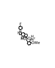 CC[C@]12Cc3cnn(-c4ccc(F)cc4)c3C=C1CC[C@@]2(O)CCc1cccc(OC)c1C(N)=O